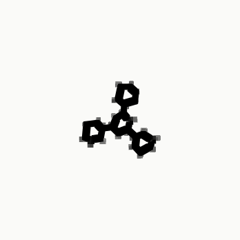 c1ccc(-c2cc(-c3cccnc3)cc(-c3cccnc3)n2)cc1